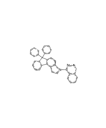 c1ccc(C2(c3ccccc3)c3ccccc3-c3c2ccc2c3ccn2-c2nncc3ccccc23)cc1